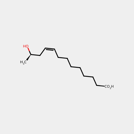 C[C@@H](O)C/C=C\CCCCCCCC(=O)O